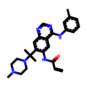 C=CC(=O)Nc1cc2c(Nc3cccc(C)c3)ncnc2cc1C(C)(C)N1CCN(C)CC1